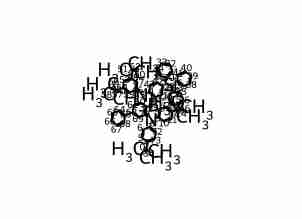 CC(C)(C)c1ccc(N2c3ccc(C(C)(C)C)cc3B3c4cc([Si](c5ccccc5)(c5ccccc5)c5ccccc5)ccc4N(c4cc(C(C)(C)C)cc(C(C)(C)C)c4)c4cc(-c5ccccc5)cc2c43)cc1